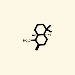 C=C1CC[C@@H]2C(C)(C)CCC[C@@]2(C)C1C(=O)O